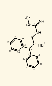 Br.CCSC(=N)NCCC(c1ccccc1)c1ccccc1